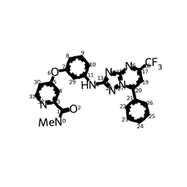 CNC(=O)c1cc(Oc2cccc(Nc3nc4nc(C(F)(F)F)cc(-c5ccccc5)n4n3)c2)ccn1